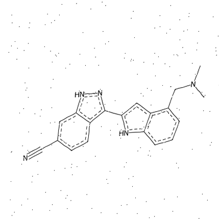 CN(C)Cc1cccc2[nH]c(-c3n[nH]c4cc(C#N)ccc34)cc12